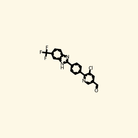 O=Cc1cnc(-c2ccc(-c3nc4ccc(C(F)(F)F)cc4[nH]3)cc2)c(Cl)c1